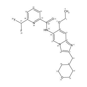 CCOc1cc2nc(CC3CCOCC3)cn2cc1NC(=O)c1cccc(C(F)F)n1